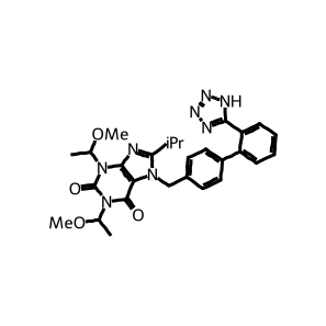 COC(C)n1c(=O)c2c(nc(C(C)C)n2Cc2ccc(-c3ccccc3-c3nnn[nH]3)cc2)n(C(C)OC)c1=O